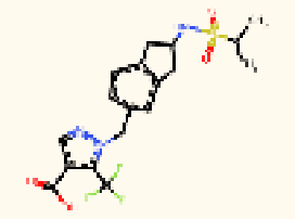 CC(C)S(=O)(=O)NC1Cc2ccc(Cn3ncc(C(=O)O)c3C(F)(F)F)cc2C1